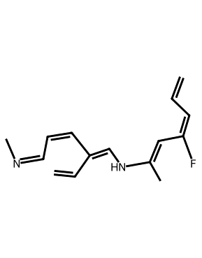 C=C/C=C(F)\C=C(/C)N/C=C(C=C)/C=C\C=N/C